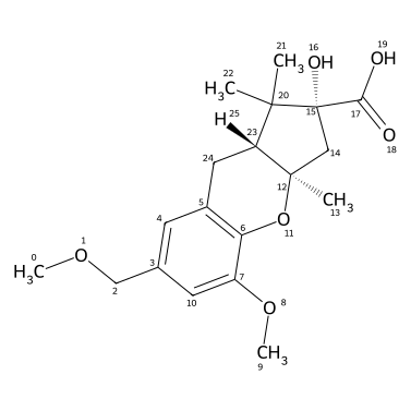 COCc1cc2c(c(OC)c1)O[C@]1(C)C[C@](O)(C(=O)O)C(C)(C)[C@H]1C2